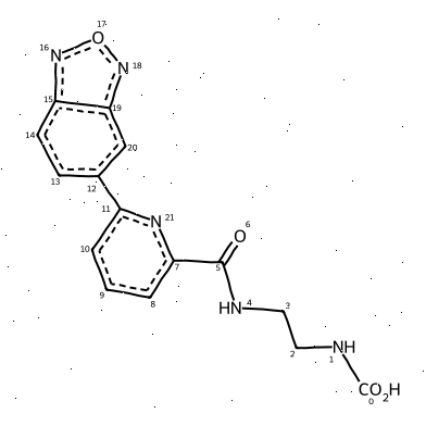 O=C(O)NCCNC(=O)c1cccc(-c2ccc3nonc3c2)n1